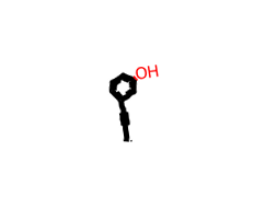 [CH2]C#Cc1cccc(O)c1